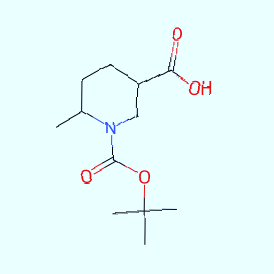 CC1CCC(C(=O)O)CN1C(=O)OC(C)(C)C